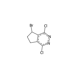 Clc1nnc(Cl)c2c1CCC2Br